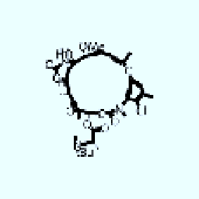 CO[C@@H]1/C=C/C=C(\C)Cc2cc(C)c(Cl)c(c2)N(C)C(=O)C[C@H](OC(=O)[C@H](C)N(C)C(C)(C)C)C2(C)OC2[C@H](C)[C@@H]2C[C@@]1(O)NC(=O)O2